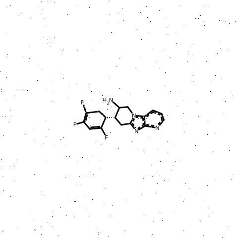 NC1Cn2c(nc3ncccc32)C[C@@H]1C1CC(F)=C(F)C=C1F